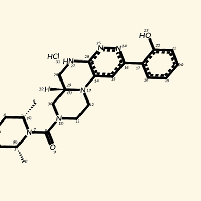 C[C@@H]1CNC[C@H](C)N1C(=O)N1CCN2c3cc(-c4ccccc4O)nnc3NC[C@H]2C1.Cl